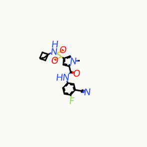 Cn1cc(S(=O)(=O)NC23CC(C2)C3)cc1C(=O)Nc1ccc(F)c(C#N)c1